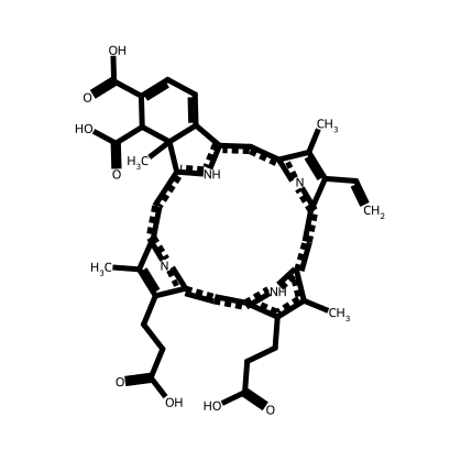 C=CC1=C(C)c2cc3[nH]c(cc4nc(cc5[nH]c(cc1n2)c(C)c5CCC(=O)O)C(CCC(=O)O)=C4C)C1(C)C3=CC=C(C(=O)O)C1C(=O)O